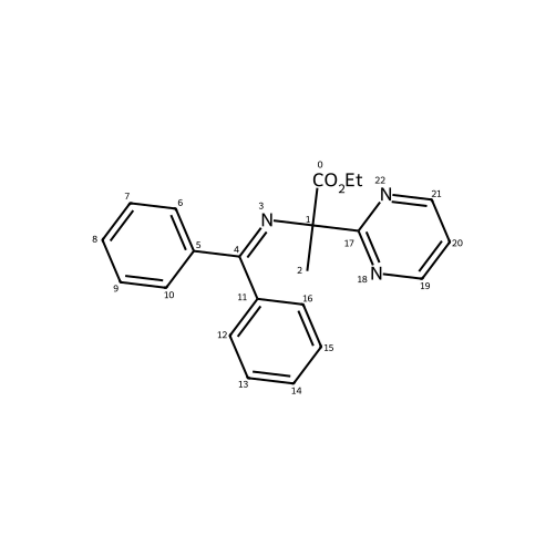 CCOC(=O)C(C)(N=C(c1ccccc1)c1ccccc1)c1ncccn1